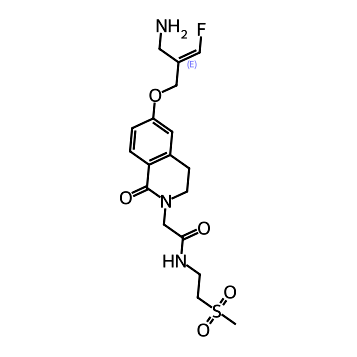 CS(=O)(=O)CCNC(=O)CN1CCc2cc(OC/C(=C/F)CN)ccc2C1=O